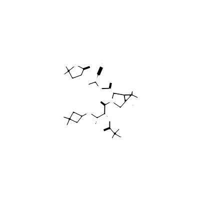 C[C@@H](OC1CC(F)(F)C1)[C@H](NC(=O)C(F)(F)F)C(=O)N1C[C@H]2[C@@H]([C@H]1C(=O)N[C@H](C#N)C[C@@H]1CC(C)(C)NC1=O)C2(C)C